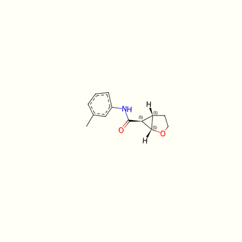 Cc1cccc(NC(=O)[C@H]2[C@@H]3CCO[C@@H]32)c1